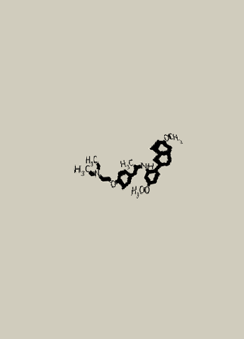 CCN(CC)CCOc1ccc(CC(C)Nc2cc(OC)ccc2C2CCc3cc(OC)ccc3C2)cc1